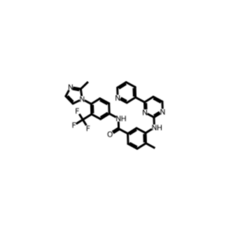 Cc1ccc(C(=O)Nc2ccc(-n3ccnc3C)c(C(F)(F)F)c2)cc1Nc1nccc(-c2cccnc2)n1